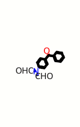 O=CN(C=O)c1ccc(C(=O)c2ccccc2)cc1